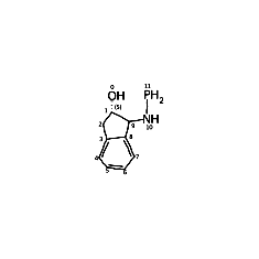 O[C@H]1Cc2ccccc2C1NP